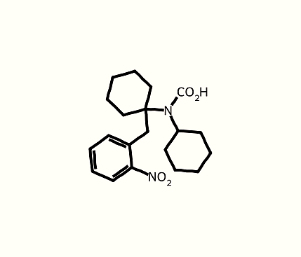 O=C(O)N(C1CCCCC1)C1(Cc2ccccc2[N+](=O)[O-])CCCCC1